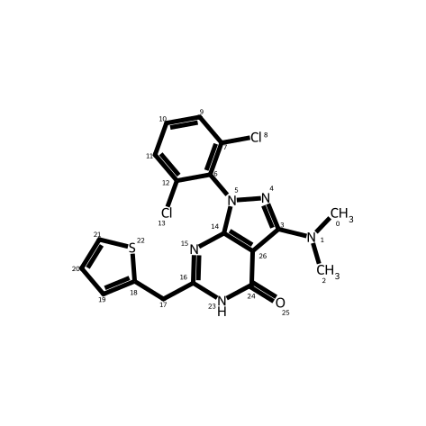 CN(C)c1nn(-c2c(Cl)cccc2Cl)c2nc(Cc3cccs3)[nH]c(=O)c12